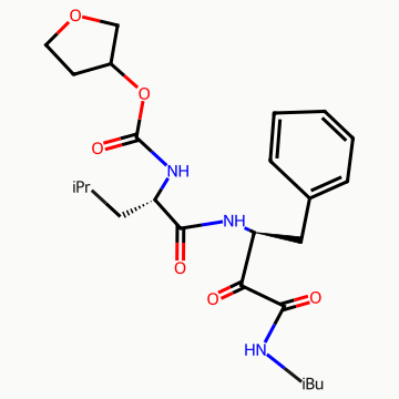 CCC(C)NC(=O)C(=O)[C@H](Cc1ccccc1)NC(=O)[C@H](CC(C)C)NC(=O)OC1CCOC1